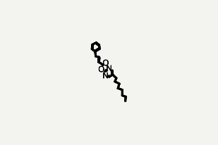 CCCCCCCCc1cnc(OC(=O)/C=C/Cc2ccccc2)nc1